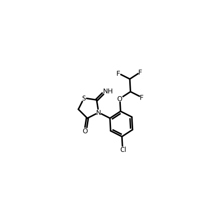 N=C1SCC(=O)N1c1cc(Cl)ccc1OC(F)C(F)F